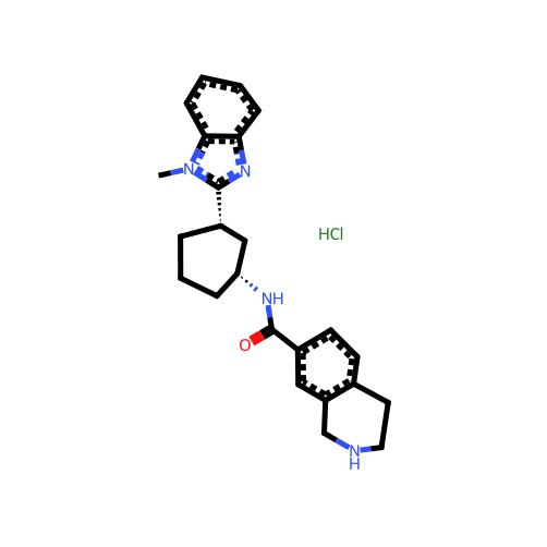 Cl.Cn1c([C@H]2CCC[C@@H](NC(=O)c3ccc4c(c3)CNCC4)C2)nc2ccccc21